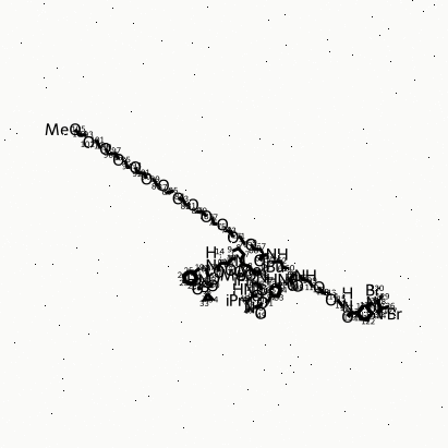 CC[C@H](C)[C@@H]([C@@H](CC(=O)N1CCC[C@H]1[C@H](OC)[C@@H](C)C(=O)N[C@@H](Cc1ccccc1)C(=O)NS(=O)(=O)C1CC1)OC)N(C)C(=O)[C@@H](NC(=O)[C@H](C(C)C)N(C)C(=O)OCc1ccc(NC(=O)[C@H](CCCCNC(=O)CCOCCOCCOCCOCCOCCOCCOCCOCCOCCOCCOCCOCCOC)NC(=O)CCOCCOCCNC(=O)c2ccc3nc(CBr)c(CBr)nc3c2)cc1)C(C)C